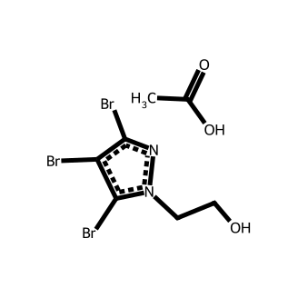 CC(=O)O.OCCn1nc(Br)c(Br)c1Br